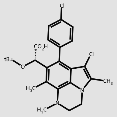 Cc1c([C@H](OC(C)(C)C)C(=O)O)c(-c2ccc(Cl)cc2)c2c(Cl)c(C)n3c2c1N(C)CC3